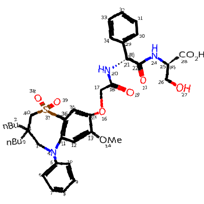 CCCCC1(CCCC)CN(c2ccccc2)c2cc(OC)c(OCC(=O)N[C@@H](C(=O)N[C@H](CO)C(=O)O)c3ccccc3)cc2S(=O)(=O)C1